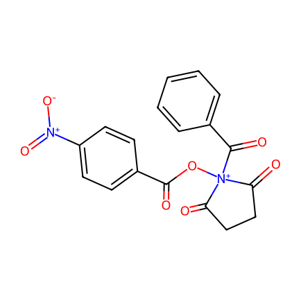 O=C(O[N+]1(C(=O)c2ccccc2)C(=O)CCC1=O)c1ccc([N+](=O)[O-])cc1